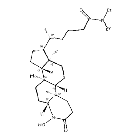 CCN(CC)C(=O)CCC[C@@H](C)[C@H]1CC[C@H]2[C@@H]3CC[C@H]4N(O)C(=O)CC[C@]4(C)[C@H]3CC[C@]12C